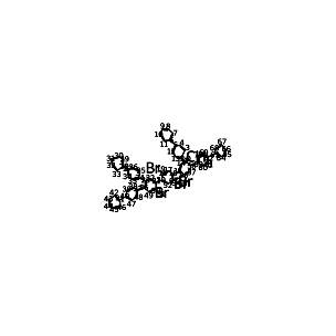 CC1(c2ccc(-c3ccccc3)cc2)C=C(c2cc(Br)c(-c3cc(-c4ccc(-c5ccccc5)cc4)c(-c4ccc(-c5ccccc5)cc4)cc3Br)cc2Br)C(Br)=CC1c1ccc(-c2ccccc2)cc1